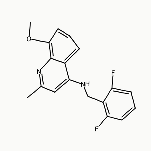 COc1cccc2c(NCc3c(F)cccc3F)cc(C)nc12